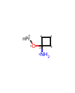 CCCOC1(N)CCC1